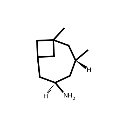 C[C@@H]1C[C@@H](N)CC2CC(C)(C2)C1